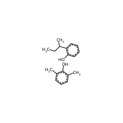 CCC(C)c1ccccc1O.Cc1cccc(C)c1O